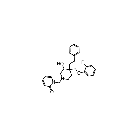 O=c1ccccn1CN1CCC(CCc2ccccc2)(COc2ccccc2F)C(O)C1